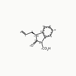 C=CC[C@@H]1C(=O)N(C(=O)O)c2ccccc21